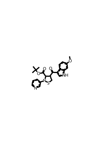 COc1ccc2c(C(=O)C3CSN(c4cccnc4)C3C(=O)OC(C)(C)C)c[nH]c2c1